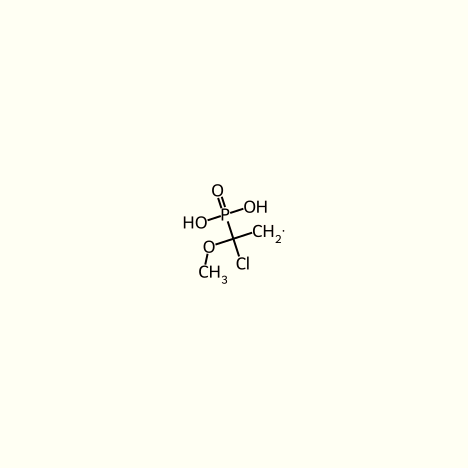 [CH2]C(Cl)(OC)P(=O)(O)O